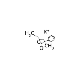 CCCCCC(C)(C(=O)[O-])c1ccccc1.[K+]